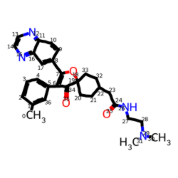 Cc1cccc(C2=C(c3ccc4nccnc4c3)OC3(CCC(CC(=O)NCCN(C)C)CC3)C2=O)c1